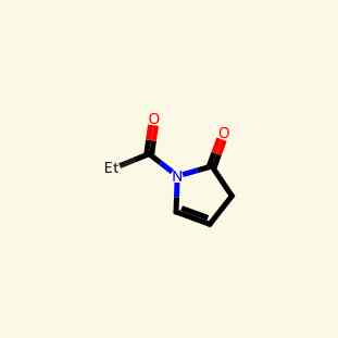 CCC(=O)N1C=CCC1=O